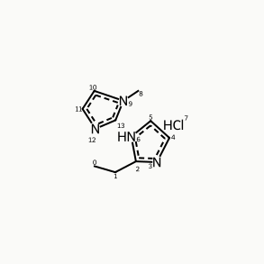 CCc1ncc[nH]1.Cl.Cn1ccnc1